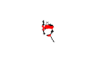 CC[C@H](C)C1NC(=O)[C@@H](NC(=O)[C@H](C)[C@H](O)C(C)C)[C@@H](C)OC(=O)[C@@H]2COC(=O)CNC(=O)C(C)[C@](O)(CNCCCCCCN)[C@@H](C)Oc3ccc(cc3)[C@H](NC1=O)C(=O)N(C)[C@@H](Cc1ccccc1)C(=O)N[C@H]([C@@H](C)O)C(=O)N2